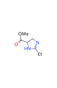 CCC1=NCC(C(=O)OC)N1